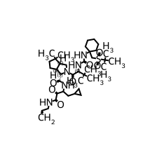 C=CCNC(=O)C(=O)C(CC1CC1)NC(=O)[C@@H]1[C@H]2CCC(C)(C)[C@H]2CN1C(=O)[C@@H](NC(=O)NC1(CS(=O)(=O)C(C)(C)C)CCCCC1)C(C)(C)C